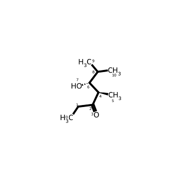 CCC(=O)[C@H](C)[C@H](O)C(C)C